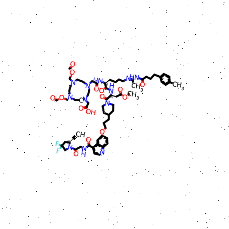 C#C[C@H]1CC(F)(F)CN1C(=O)CNC(=O)c1ccnc2ccc(OCCCC3CCN(C(=O)[C@H](CC(=O)OC)NC(=O)[C@H](CCCC/N=C(\C)NC(=O)CCCc4ccc(C)cc4)NC(=O)CN4CCN(COC=O)CCN(COC=O)CCN(CC(=O)O)CC4)CC3)cc12